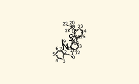 CCc1ccccc1N(I)c1cccc2c1sc1c(C(C)(C)C)cccc12